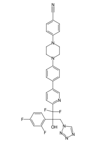 N#Cc1ccc(N2CCN(c3ccc(-c4ccc(C(F)(F)C(O)(Cn5cnnn5)c5ccc(F)cc5F)nc4)cc3)CC2)cc1